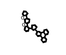 c1cc(-c2ccc3c4ccccc4c4ccccc4c3c2)cc(-c2cccc3oc4c(ccc5c6ccccc6oc54)c23)c1